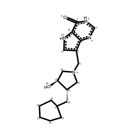 O=c1[nH]cnc2c(CN3C[C@H](CC4CCCCC4)[C@@H](O)C3)c[nH]c12